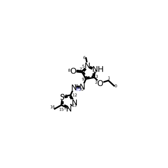 CCOc1[nH]n(C)c(=O)c1/N=N/c1nnc(C)s1